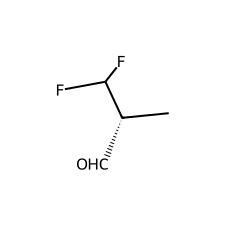 C[C@H](C=O)C(F)F